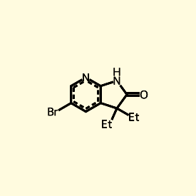 CCC1(CC)C(=O)Nc2ncc(Br)cc21